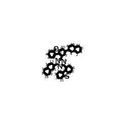 c1ccc2cc(-c3cc(-c4nc(-c5ccc6ccccc6c5)nc(-c5cccc6sc7ccccc7c56)n4)c4c(c3)oc3ccccc34)ccc2c1